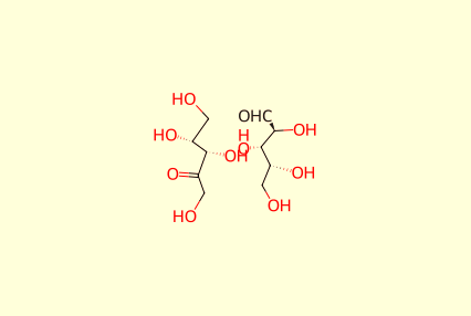 O=C(CO)[C@@H](O)[C@H](O)CO.O=C[C@@H](O)[C@@H](O)[C@H](O)CO